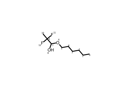 CCCCCCOC(O)C(C)(F)F